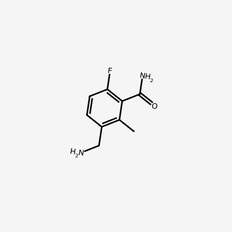 Cc1c(CN)ccc(F)c1C(N)=O